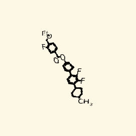 CCOCc1ccc(C(=O)Oc2ccc(-c3ccc(C4CCC(C)CC4)c(F)c3F)cc2)cc1F